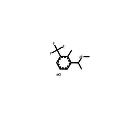 CNC(C)c1cccc(C(F)(F)F)c1C.Cl